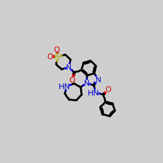 O=C(Nc1nc2cccc(C(=O)N3CCS(=O)(=O)CC3)c2n1C1CCCCNC1)c1ccccc1